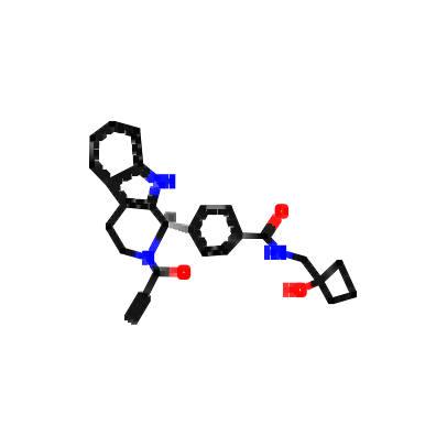 C#CC(=O)N1CCc2c([nH]c3ccccc23)[C@@H]1c1ccc(C(=O)NCC2(O)CCC2)cc1